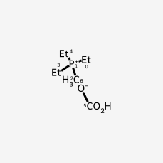 CC[P+](C)(CC)CC.O=C([O-])O